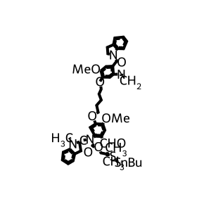 C=Nc1cc(OCCCCCOc2cc(N(CC3Cc4ccccc4N3C)C(=O)OCC(C)(C)SSCCCC)c(C=O)cc2OC)c(OC)cc1C(=O)N1CCc2ccccc21